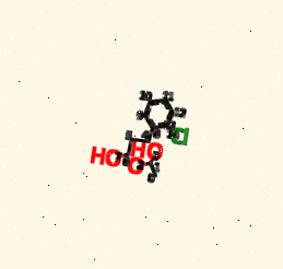 CC(O)OC(CCO)c1ccccc1Cl